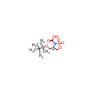 CC(C)(C)[Si](C)(C)OC[C@@H]1COS(=O)(=O)N1C(=O)O